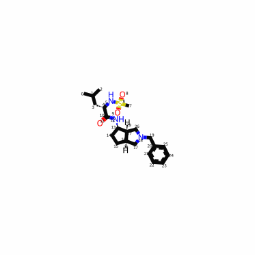 CC(C)C[C@H](NS(C)(=O)=O)C(=O)N[C@H]1CC[C@@H]2CN(Cc3ccccc3)C[C@@H]21